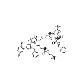 CC(C)(C)[C@H](c1cc(-c2cc(F)ccc2F)cn1Cc1ccccc1)N(CCCNC(=O)OCC[Si](C)(C)C)C(=O)CSCCC(=O)N[C@](CC[Si](C)(C)C)(CNC(=O)OCc1ccccc1)C(=O)O